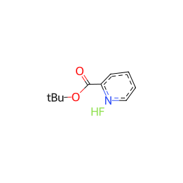 CC(C)(C)OC(=O)c1ccccn1.F